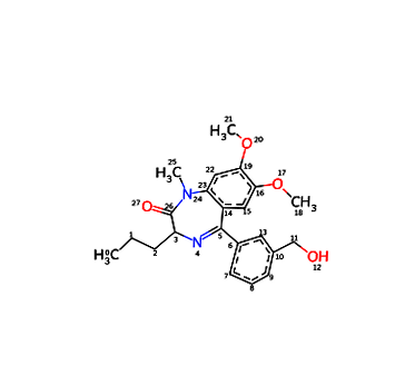 CCCC1N=C(c2cccc(CO)c2)c2cc(OC)c(OC)cc2N(C)C1=O